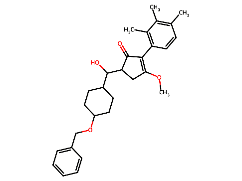 COC1=C(c2ccc(C)c(C)c2C)C(=O)C(C(O)C2CCC(OCc3ccccc3)CC2)C1